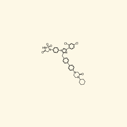 O=C1CN(c2ccc(-n3cc(-c4ccc(Cl)cc4Cl)nc3Cc3ccc(-c4ccc(N5CCN(C6CCCCC6)C(=O)C5)cc4)cc3)cc2)S(=O)(=O)N1